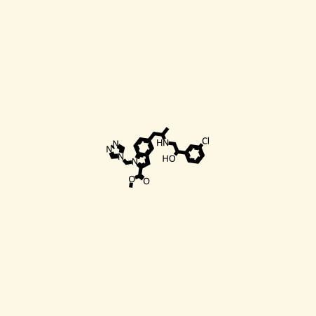 COC(=O)c1cc2cc(CC(C)NCC(O)c3cccc(Cl)c3)ccc2n1Cn1cnnc1